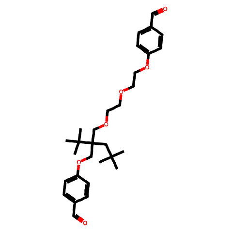 CC(C)(C)CC(COCCOCCOc1ccc(C=O)cc1)(COc1ccc(C=O)cc1)C(C)(C)C